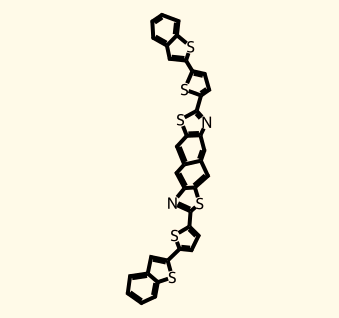 c1ccc2sc(-c3ccc(-c4nc5cc6cc7sc(-c8ccc(-c9cc%10ccccc%10s9)s8)nc7cc6cc5s4)s3)cc2c1